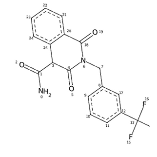 NC(=O)C1C(=O)N(Cc2cccc(C(F)(F)F)c2)C(=O)c2ccccc21